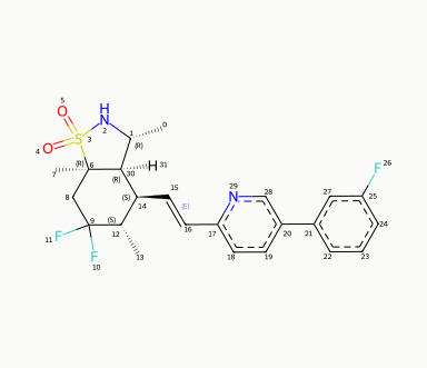 C[C@H]1NS(=O)(=O)[C@]2(C)CC(F)(F)[C@@H](C)[C@H](/C=C/c3ccc(-c4cccc(F)c4)cn3)[C@H]12